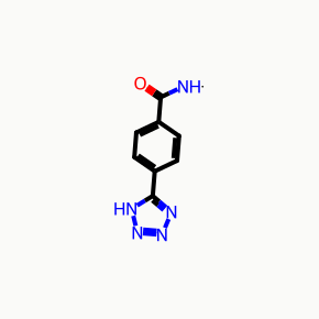 [NH]C(=O)c1ccc(-c2nnn[nH]2)cc1